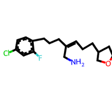 NC/C(=C\CCC1CCOC1)CCCc1ccc(Cl)cc1F